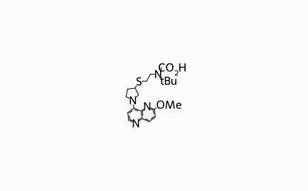 COc1ccc2nccc(N3CCC(SCCN(C(=O)O)C(C)(C)C)C3)c2n1